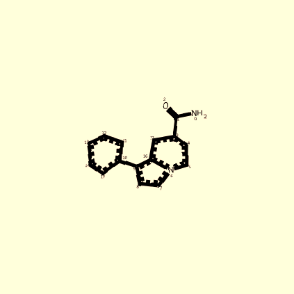 NC(=O)c1ccn2ccc(-c3ccccc3)c2c1